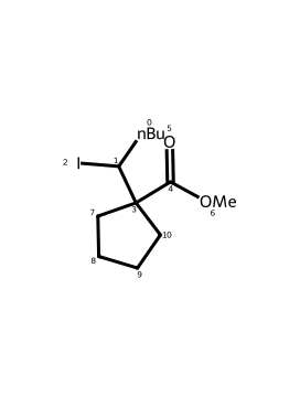 CCCCC(I)C1(C(=O)OC)CCCC1